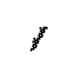 C/C=C/C1CCC(c2ccc(CCC3CCC(c4ccc(OCC)c(F)c4)CC3)c(F)c2F)CC1